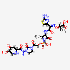 C[C@H]1[C@H](NC(=O)/C(=N\OC(C)(C)C(=O)O)c2csc(N)n2)C(=O)N1[P@@](=O)(O)OCC(=O)N1CCN(NC(=O)c2cc(=O)c(O)c[nH]2)C1=O